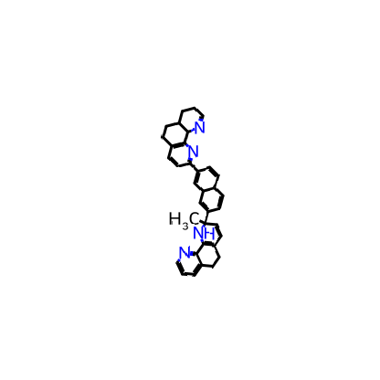 CC1(C2=CC3C=C(c4ccc5c(n4)C4N=CCCC4CC5)C=CC3C=C2)C=CC2=C(N1)c1ncccc1CC2